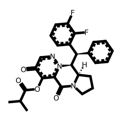 CC(C)C(=O)Oc1c2n(ncc1=O)[C@@H]([C@H](c1ccccc1)c1cccc(F)c1F)[C@H]1CCCN1C2=O